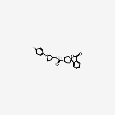 O=C1O[C@]2(CC[C@H](C(=O)N[C@H]3CCN(c4ccc(F)cc4)C3)CC2)c2ccccc21